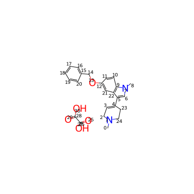 CN1CC=C(c2cn(C)c3ccc(OCc4ccccc4)cc23)CC1.O=C(O)C(=O)O